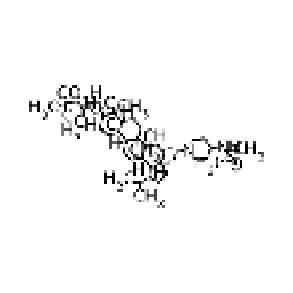 C=C(C)[C@@H]1CC[C@]2(CCN3CCC(NS(=C)(C)=O)CC3)CC[C@]3(C)[C@H](CC[C@@H]4[C@@]5(C)CC[C@H](OC(=O)CC(C)(C)C(=O)O)C(C)(C)[C@@H]5CC[C@]43C)[C@@H]12